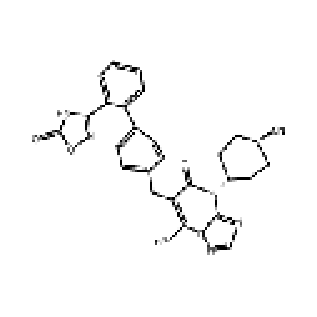 CCCc1c(Cc2ccc(-c3ccccc3-c3noc(=O)[nH]3)cc2)c(=O)n([C@H]2CC[C@H](C#N)CC2)c2ncnn12